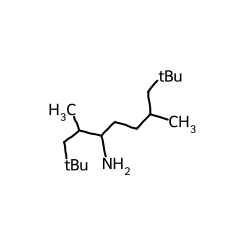 CC(CCC(N)C(C)CC(C)(C)C)CC(C)(C)C